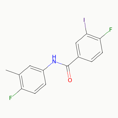 Cc1cc(NC(=O)c2ccc(F)c(I)c2)ccc1F